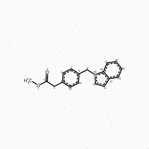 COC(=O)Cc1ccc(Cn2ccc3ccccc32)cc1